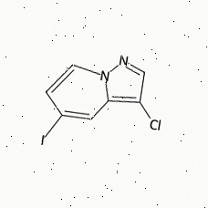 Clc1cnn2ccc(I)cc12